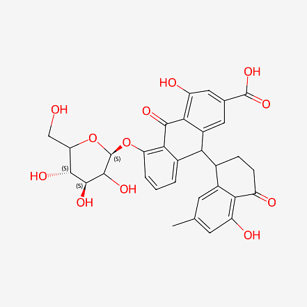 Cc1cc(O)c2c(c1)C(C1c3cc(C(=O)O)cc(O)c3C(=O)c3c(O[C@@H]4OC(CO)[C@@H](O)[C@H](O)C4O)cccc31)CCC2=O